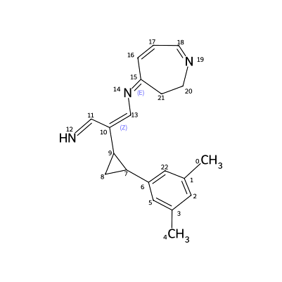 Cc1cc(C)cc(C2CC2/C(C=N)=C/N=C2/C=CC=NCC2)c1